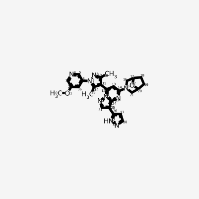 COc1cncc(-n2nc(C)c(-c3cc(N4CC5CCC(C4)O5)nc4c(-c5ccn[nH]5)cnn34)c2C)c1